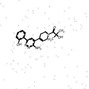 CC(C)(O)C(=O)N1CC=C(c2cc(-c3ccccc3O)nnc2N)CC1